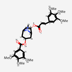 COc1cc(C=CC(=O)O[C@H]2CC3C[C@H](OC(=O)c4cc(OC)c(OC)c(OC)c4)CC2N3C)cc(OC)c1OC